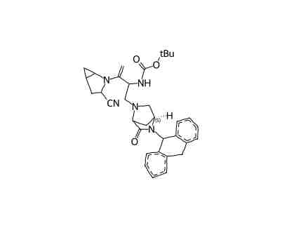 C=C(C(CN1C[C@@H]2CC1C(=O)N2C1c2ccccc2Cc2ccccc21)NC(=O)OC(C)(C)C)N1C(C#N)CC2CC21